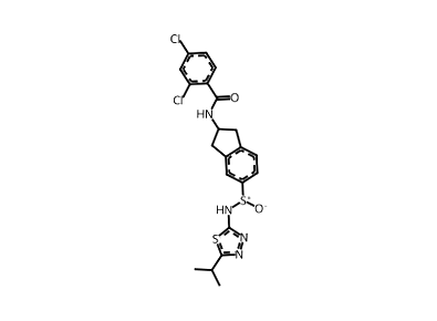 CC(C)c1nnc(N[S+]([O-])c2ccc3c(c2)CC(NC(=O)c2ccc(Cl)cc2Cl)C3)s1